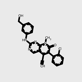 C#Cc1c(-c2ccccc2Cl)c(=O)n(C)c2nc(Nc3cccc(CO)c3)ncc12